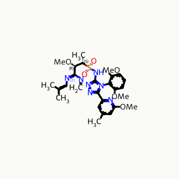 C=N/C(=N\C=C(C)C)[C@@H](OC)[C@H](C)S(=O)(=O)Nc1nnc(-c2cc(C)cc(OC)n2)n1-c1c(OC)cccc1OC